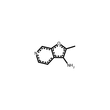 Cc1oc2cnccc2c1N